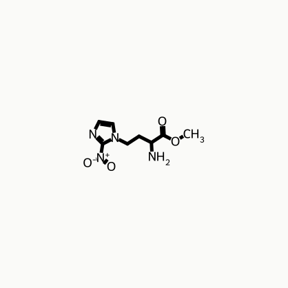 COC(=O)C(N)CCn1ccnc1[N+](=O)[O-]